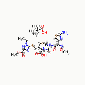 CC(C)(C)C(=O)O.CCn1nc(C(=O)OC)nc1SCC1=C(C(=O)O)N2C(=O)[C@@H](NC(=O)/C(=N\OC)c3csc(N)n3)[C@H]2SC1